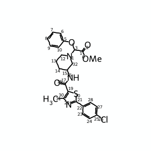 COC(=O)C(Oc1ccccc1)N1CCCC(NC(=O)c2sc(-c3ccc(Cl)cc3)nc2C)C1